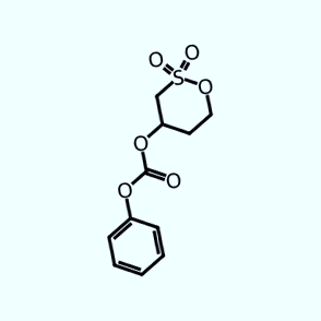 O=C(Oc1ccccc1)OC1CCOS(=O)(=O)C1